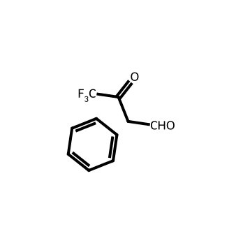 O=CCC(=O)C(F)(F)F.c1ccccc1